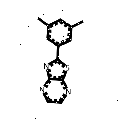 Cc1cc(C)cc(-c2nc3nccnc3s2)c1